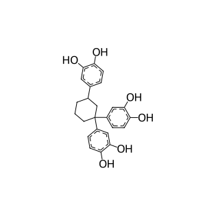 Oc1ccc(C2CCCC(c3ccc(O)c(O)c3)(c3ccc(O)c(O)c3)C2)cc1O